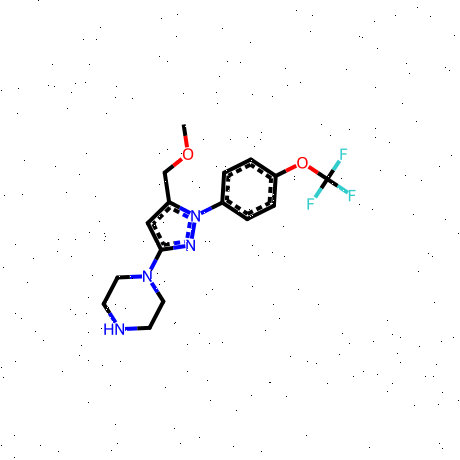 COCc1cc(N2CCNCC2)nn1-c1ccc(OC(F)(F)F)cc1